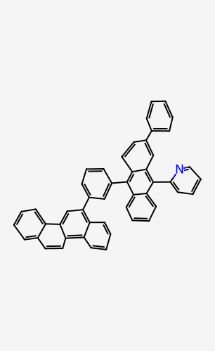 c1ccc(-c2ccc3c(-c4cccc(-c5cc6c7ccccc7ccc6c6ccccc56)c4)c4ccccc4c(-c4ccccn4)c3c2)cc1